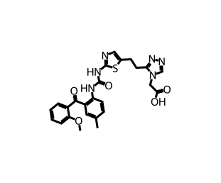 COc1ccccc1C(=O)c1cc(C)ccc1NC(=O)Nc1ncc(CCc2nncn2CC(=O)O)s1